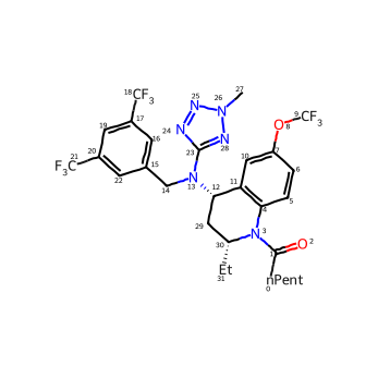 CCCCCC(=O)N1c2ccc(OC(F)(F)F)cc2[C@@H](N(Cc2cc(C(F)(F)F)cc(C(F)(F)F)c2)c2nnn(C)n2)C[C@H]1CC